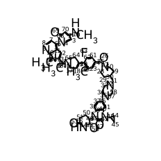 CNc1ccn(-c2ccnc3c2cc([C@H](C)N2CC=C(c4c(C)cc(C(=O)N5CCC(CN6CCN(c7ccc8c(c7)n(C7CC7)c(=O)n8C7CCC(=O)NC7=O)CC6)CC5)cc4F)CC2)n3C)c(=O)c1